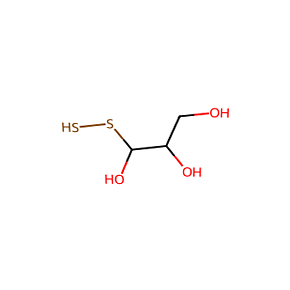 OCC(O)C(O)SS